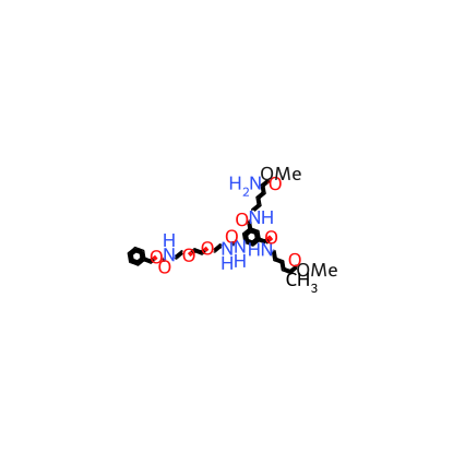 COC(=O)[C@@H](C)CCCCNC(=O)c1cc(NC(=O)NCCOCCOCCNC(=O)OCc2ccccc2)cc(C(=O)NCCCC[C@H](N)C(=O)OC)c1